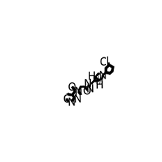 O=c1c2cccnc2ncn1Cc1nc(C2[C@H]3CN(c4cccc(Cl)c4)C[C@@H]23)no1